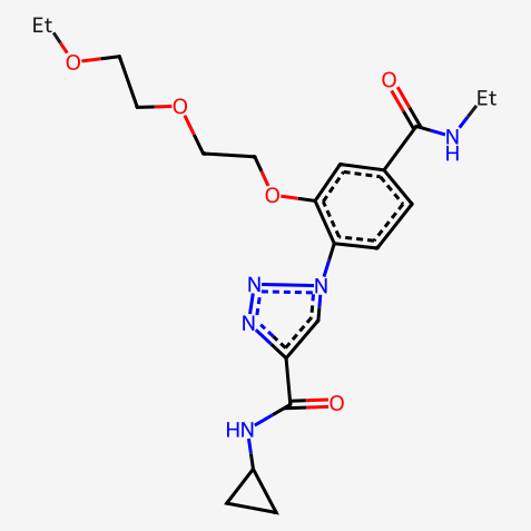 CCNC(=O)c1ccc(-n2cc(C(=O)NC3CC3)nn2)c(OCCOCCOCC)c1